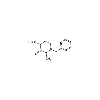 CC1C(=O)C(C(=O)O)CCN1Cc1ccccc1